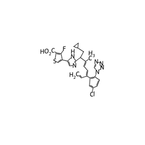 C=C/C(=C\C=C(/C)C(CC1CC1)c1ncc(-c2csc(C(=O)O)c2F)[nH]1)c1cc(Cl)ccc1-n1cnnn1